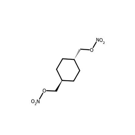 O=[N+]([O-])OC[C@H]1CC[C@H](CO[N+](=O)[O-])CC1